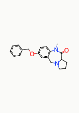 CN1C(=O)C2CCCN2Cc2cc(OCc3ccccc3)ccc21